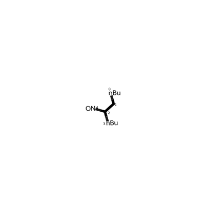 CCCCCC(CCCC)N=O